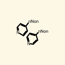 CCCCCCCCCc1ccncc1.CCCCCCCCCc1ccncc1